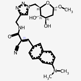 CO[C@@H]1C[C@@H](O)[C@H](O)[C@@H](Cn2cc(CNC(=O)/C(C#N)=C/c3ccc4cc(N(C)C)ccc4c3)nn2)O1